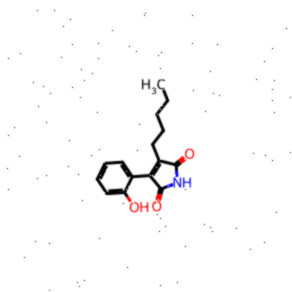 CCCCCC1=C(c2ccccc2O)C(=O)NC1=O